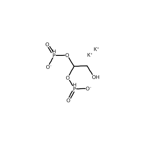 O=[PH]([O-])OC(CO)O[PH](=O)[O-].[K+].[K+]